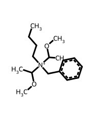 CCCC[N+](Cc1ccccc1)(C(C)OC)C(C)OC